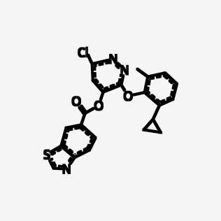 Cc1cccc(C2CC2)c1Oc1nnc(Cl)cc1OC(=O)c1ccc2ncsc2c1